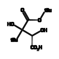 CC(C)(C)OC(=O)C(O)(C(O)C(=O)O)C(C)(C)C